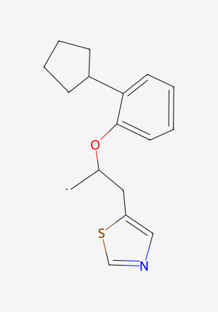 [CH2]C(Cc1cncs1)Oc1ccccc1C1CCCC1